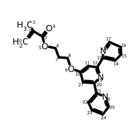 C=C(C)C(=O)OCCCOc1cc(-c2ccccn2)nc(-c2ccccn2)c1